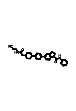 N#CCCNC(=O)CC1CCC(c2ccc(-c3ccc4c(c3)CCN4C(=O)Nc3ccccc3)cc2)CC1